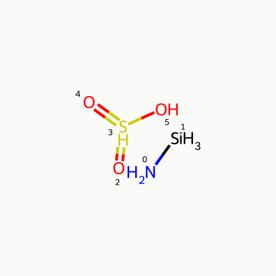 N[SiH3].O=[SH](=O)O